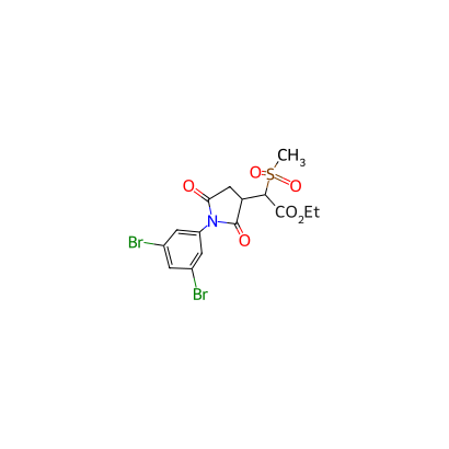 CCOC(=O)C(C1CC(=O)N(c2cc(Br)cc(Br)c2)C1=O)S(C)(=O)=O